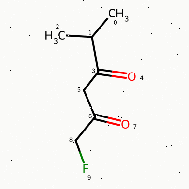 CC(C)C(=O)CC(=O)CF